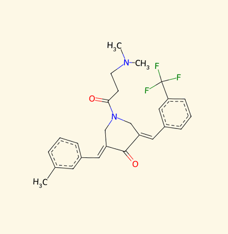 Cc1cccc(/C=C2\CN(C(=O)CCN(C)C)C/C(=C\c3cccc(C(F)(F)F)c3)C2=O)c1